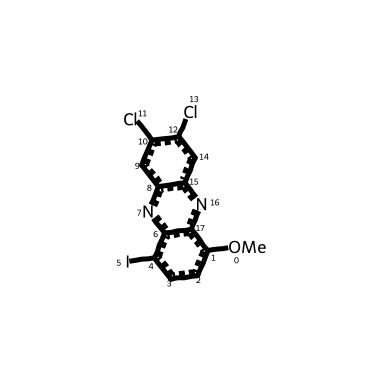 COc1ccc(I)c2nc3cc(Cl)c(Cl)cc3nc12